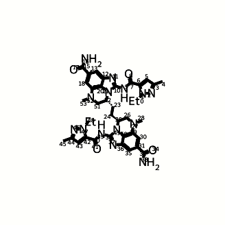 CCn1nc(C)cc1C(=O)Nc1nc2cc(C(N)=O)cc3c2n1[C@H](CC[C@H]1CN(C)c2cc(C(N)=O)cc4nc(NC(=O)c5cc(C)nn5CC)n1c24)CN3C